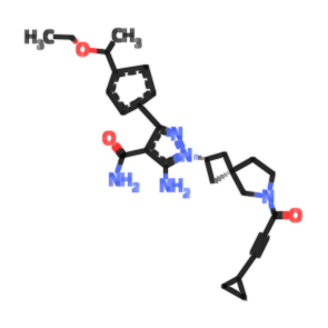 CCOC(C)c1ccc(-c2nn([C@H]3C[C@@]4(CCN(C(=O)C#CC5CC5)C4)C3)c(N)c2C(N)=O)cc1